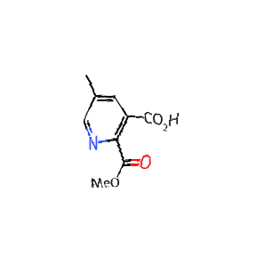 COC(=O)c1ncc(C)cc1C(=O)O